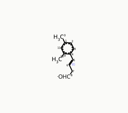 Cc1ccc(/C=C/C[C]=O)c(C)c1